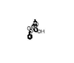 CC(C)C[C@@H](CNC(=O)OCc1ccccc1)C(=O)N1CCCC(O)C1